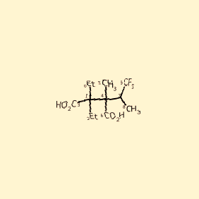 CCC(CC)(C(=O)O)C(C)(C(=O)O)C(C)C(F)(F)F